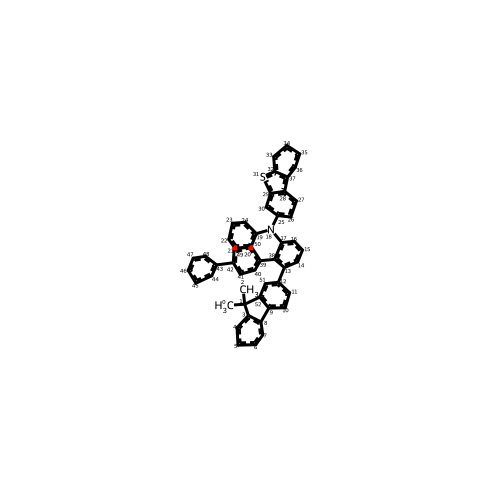 CC1(C)c2ccccc2-c2ccc(-c3cccc(N(c4ccccc4)c4ccc5c(c4)sc4ccccc45)c3-c3ccc(-c4ccccc4)cc3)cc21